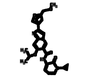 COCC12CC(c3cn4cc(C(=O)Nc5cccn(C6CC6)c5=O)c(OC(C)C)cc4n3)(CO1)C2